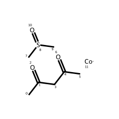 CC(=O)CC(C)=O.CS(C)=O.[Co]